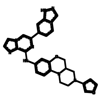 c1cn2cc(-c3ccc4cn[nH]c4c3)nc(Nc3ccc4c(c3)OCC3CN(c5ccoc5)CCN43)c2n1